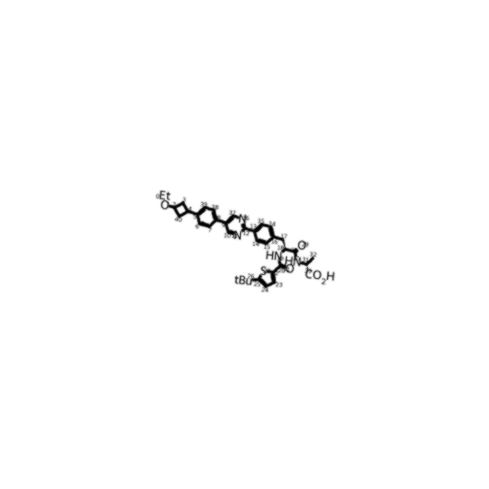 CCOC1CC(c2ccc(-c3cnc(-c4ccc(C[C@H](NC(=O)c5ccc(C(C)(C)C)s5)C(=O)N[C@H](C)C(=O)O)cc4)nc3)cc2)C1